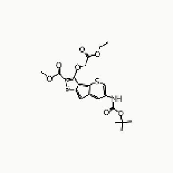 CCOC(=O)COc1c(C(=O)OC)sc2cc3cc(NC(=O)OC(C)(C)C)csc-3c12